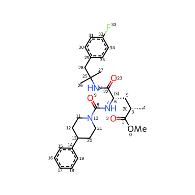 COC(=O)[C@@H](C)C[C@H](NC(=O)N1CCC(c2ccccc2)CC1)C(=O)NC(C)(C)Cc1ccc(F)cc1